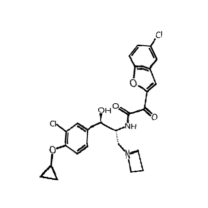 O=C(N[C@H](CN1CCC1)[C@H](O)c1ccc(OC2CC2)c(Cl)c1)C(=O)c1cc2cc(Cl)ccc2o1